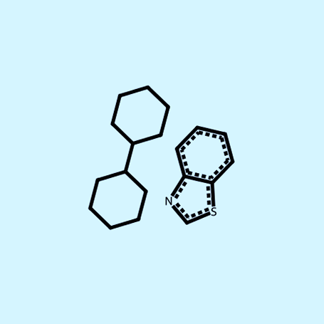 C1CCC(C2CCCCC2)CC1.c1ccc2scnc2c1